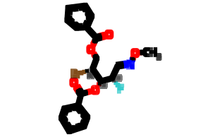 CON=C[C@H](F)[C@H](OC(=O)c1ccccc1)[C@H](Br)COC(=O)c1ccccc1